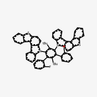 CC(C)(C)c1c(-c2ccccc2F)c(-n2c3ccccc3c3c4c(ccc32)sc2ccccc24)c(C(C)(C)C)c(-n2c3ccccc3c3c4c(ccc32)sc2ccccc24)c1-c1ccccc1F